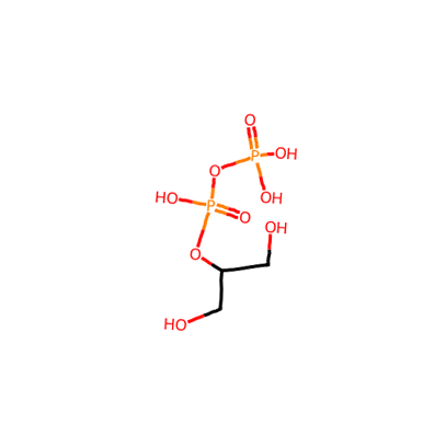 O=P(O)(O)OP(=O)(O)OC(CO)CO